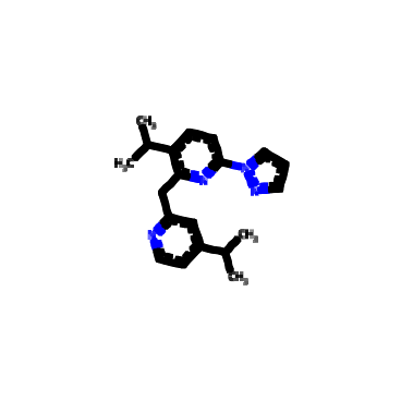 CC(C)c1ccnc(Cc2nc(-n3cccn3)ccc2C(C)C)c1